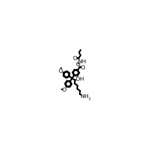 CCCC(=O)NOC(=O)c1ccc(C(c2ccc(OC)cc2)(c2ccc(OC)cc2)C(O)CCCCCN)cc1